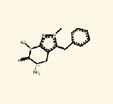 Cn1nc2c(c1Cc1ccccc1)C[C@H](N)C(=O)N2O